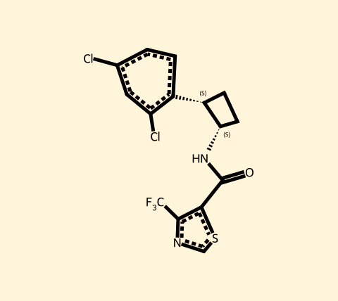 O=C(N[C@H]1CC[C@H]1c1ccc(Cl)cc1Cl)c1scnc1C(F)(F)F